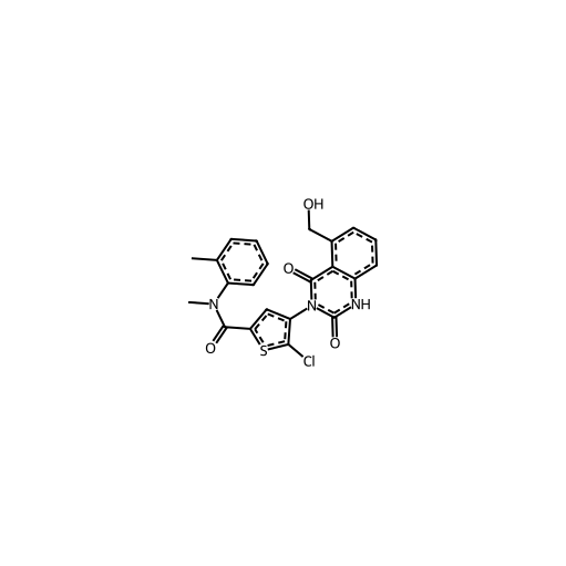 Cc1ccccc1N(C)C(=O)c1cc(-n2c(=O)[nH]c3cccc(CO)c3c2=O)c(Cl)s1